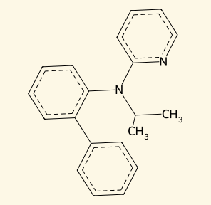 CC(C)N(c1ccccn1)c1ccccc1-c1ccccc1